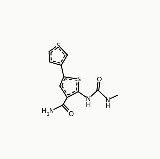 CNC(=O)Nc1sc(-c2ccsc2)cc1C(N)=O